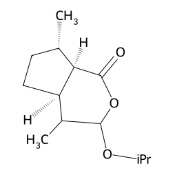 CC(C)OC1OC(=O)[C@H]2[C@H](CC[C@@H]2C)C1C